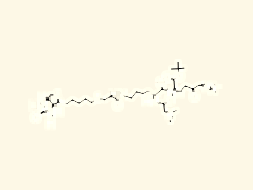 CN(C)CC(=O)N[C@@H](CCCCNC(=O)CCSCCCCC[C@@H]1SC[C@@H]2NC(=O)N[C@@H]21)C(=O)N[C@@H](CCC(=O)C=[N+]=[N-])C(=O)OC(C)(C)C